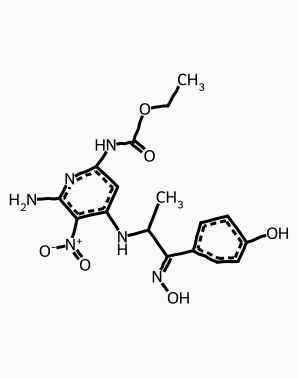 CCOC(=O)Nc1cc(NC(C)/C(=N/O)c2ccc(O)cc2)c([N+](=O)[O-])c(N)n1